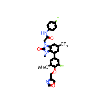 COc1cc(-c2cc(C(F)(F)F)cc3c2n(C)c(=O)n3CC(=O)Nc2ccc(F)cc2)cc(F)c1OCc1cocn1